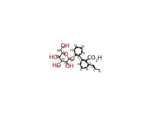 CC=Cc1cccc(-c2ccccc2O[C@@H]2O[C@H](CO)[C@@H](O)[C@H](O)[C@H]2O)c1C(=O)O